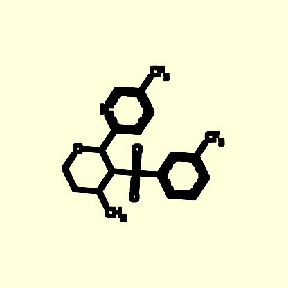 CC1CCOC(c2ccc(C(F)(F)F)cn2)C1S(=O)(=O)c1cccc(C(F)(F)F)c1